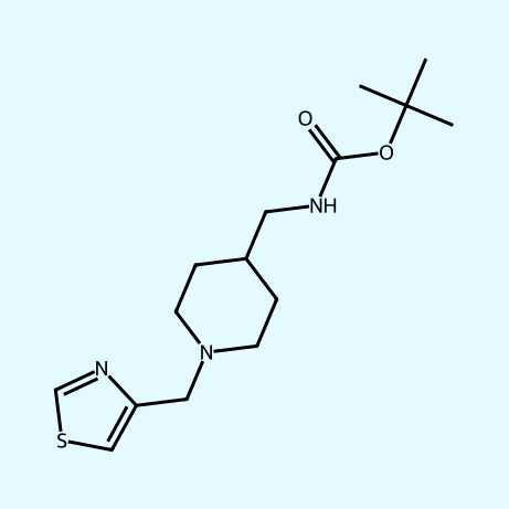 CC(C)(C)OC(=O)NCC1CCN(Cc2cscn2)CC1